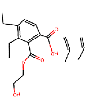 C=CC.C=CC.CCc1ccc(C(=O)O)c(C(=O)OCCO)c1CC